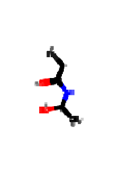 [CH2]C(O)NC(=O)CC(C)C